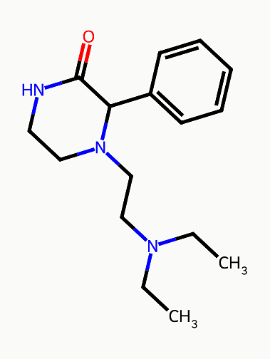 CCN(CC)CCN1CCNC(=O)C1c1ccccc1